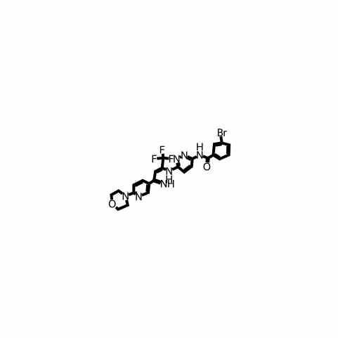 N=C(/C=C(\Nc1ccc(NC(=O)c2cccc(Br)c2)nn1)C(F)(F)F)c1ccc(N2CCOCC2)nc1